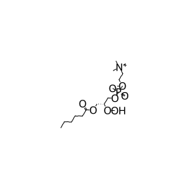 CCCCCC(=O)OC[C@H](COP(=O)([O-])OCC[N+](C)(C)C)OO